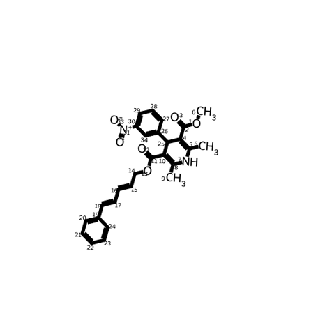 COC(=O)C1=C(C)NC(C)=C(C(=O)OCC=CC=Cc2ccccc2)C1c1cccc([N+](=O)[O-])c1